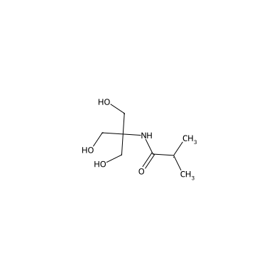 C[C](C)C(=O)NC(CO)(CO)CO